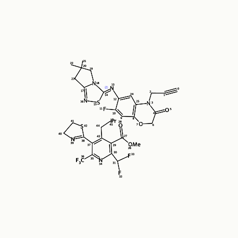 C#CCN1C(=O)COc2cc(F)c(/N=c3\snc4n3CC(C)(C)C4)cc21.COC(=O)c1c(C(F)F)nc(C(F)(F)F)c(C2=NCCS2)c1CC(C)C